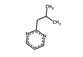 C[C](C)Cc1ncccn1